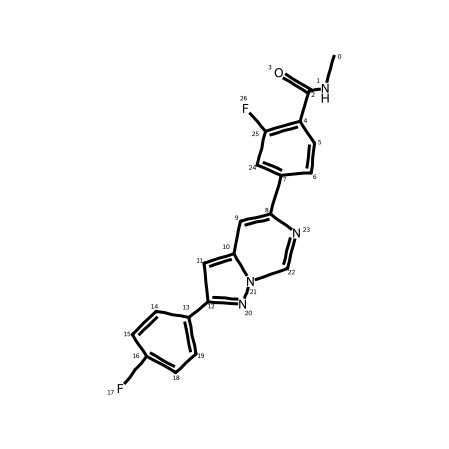 CNC(=O)c1ccc(-c2cc3cc(-c4ccc(F)cc4)nn3cn2)cc1F